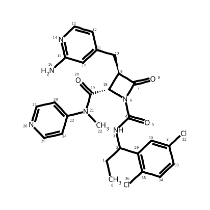 CCC(NC(=O)N1C(=O)[C@H](Cc2ccnc(N)c2)[C@H]1C(=O)N(C)c1ccncc1)c1cc(Cl)ccc1Cl